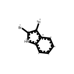 [2H]c1c(Br)[nH]c2ccccc12